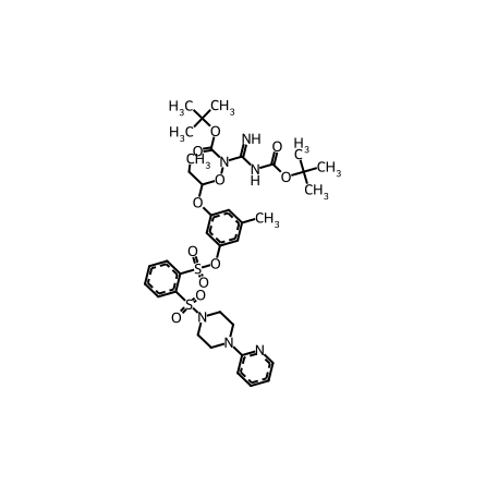 CCC(Oc1cc(C)cc(OS(=O)(=O)c2ccccc2S(=O)(=O)N2CCN(c3ccccn3)CC2)c1)ON(C(=N)NC(=O)OC(C)(C)C)C(=O)OC(C)(C)C